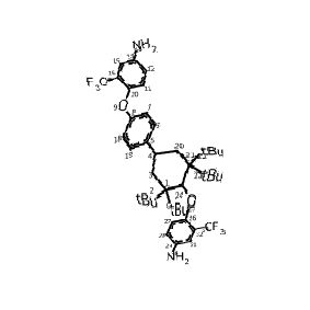 CC(C)(C)C1(C(C)(C)C)CC(c2ccc(Oc3ccc(N)cc3C(F)(F)F)cc2)CC(C(C)(C)C)(C(C)(C)C)C1Oc1ccc(N)cc1C(F)(F)F